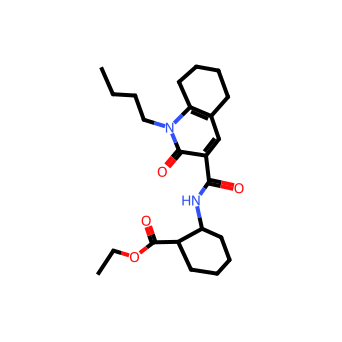 CCCCn1c2c(cc(C(=O)NC3CCCCC3C(=O)OCC)c1=O)CCCC2